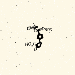 CCCCCC(O[Si](C)(C)C(C)(C)C)c1ccc([C@H]2CCC(=O)[C@@H]2C(=O)O)cc1